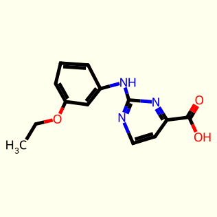 CCOc1cccc(Nc2nccc(C(=O)O)n2)c1